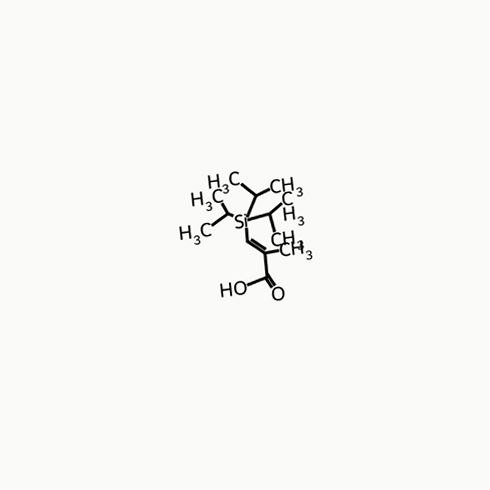 CC(=C[Si](C(C)C)(C(C)C)C(C)C)C(=O)O